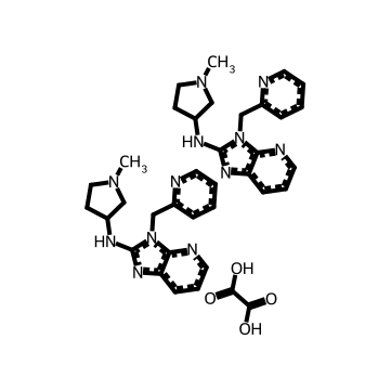 CN1CCC(Nc2nc3cccnc3n2Cc2ccccn2)C1.CN1CCC(Nc2nc3cccnc3n2Cc2ccccn2)C1.O=C(O)C(=O)O